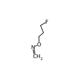 C=NOCCCF